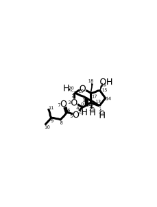 C=C1[C@H]2O[C@@H](OC(=O)CC(C)C)[C@H]3[C@@H]1C[C@H](O)[C@@]3(C)O2